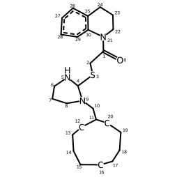 O=C(CSC1NCCCN1CC1CCCCCCCCC1)N1CCCc2ccccc21